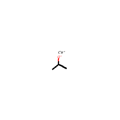 CC(C)[O-].[Cs+]